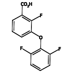 O=C(O)c1cccc(Oc2c(F)cccc2F)c1F